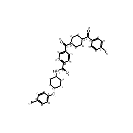 O=C(N[C@H]1CC[C@@H](Oc2ccc(F)cc2)CC1)c1ccc(C(=O)N2CCC(C(=O)c3ccc(F)cc3)CC2)cn1